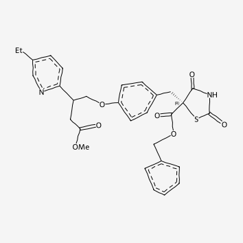 CCc1ccc(C(COc2ccc(C[C@@]3(C(=O)OCc4ccccc4)SC(=O)NC3=O)cc2)CC(=O)OC)nc1